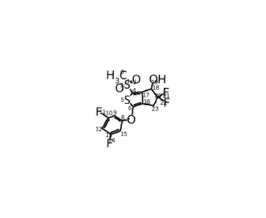 CS(=O)(=O)c1sc(Oc2cc(F)cc(F)c2)c2c1C(O)C(F)(F)C2